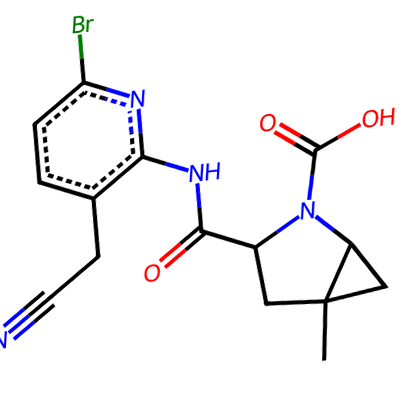 CC12CC(C(=O)Nc3nc(Br)ccc3CC#N)N(C(=O)O)C1C2